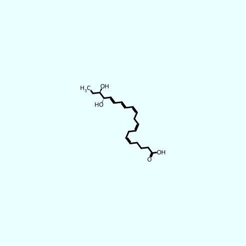 CC[C@@H](O)[C@@H](O)/C=C/C=C/C=C\C/C=C\C/C=C\CCCC(=O)O